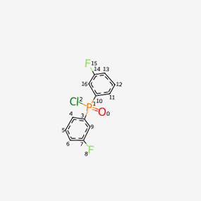 O=P(Cl)(c1cccc(F)c1)c1cccc(F)c1